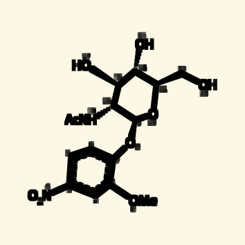 COc1cc([N+](=O)[O-])ccc1O[C@@H]1O[C@H](CO)[C@@H](O)[C@H](O)[C@H]1NC(C)=O